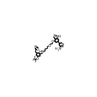 Nc1cc(-c2cc(OCCOCCCCNCc3cc(Cc4cnco4)cc(OC(F)(F)F)c3)c3cn[nH]c3c2)cnn1